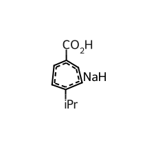 CC(C)c1ccc(C(=O)O)cc1.[NaH]